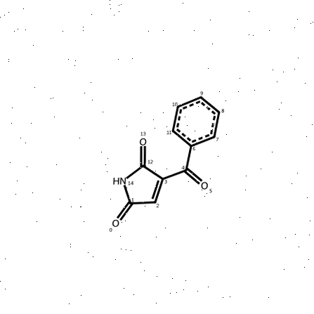 O=C1C=C(C(=O)c2ccccc2)C(=O)N1